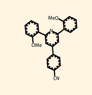 COc1ccccc1-c1cc(-c2ccc(C#N)cc2)cc(-c2ccccc2OC)n1